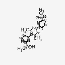 C[C@@H]1CN(c2ccnc(S(C)(=O)=O)n2)C[C@H](C)N1c1ccnc([C@@H](C)O)n1